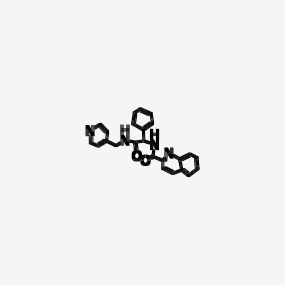 O=C(NC(C(=O)NCc1ccncc1)c1ccccc1)c1ccc2ccccc2n1